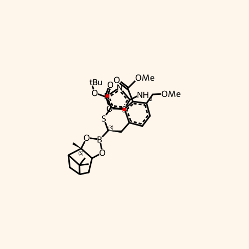 COCc1ccc(C[C@H](Sc2nnc(N)s2)B2OC3CC4CC(C4(C)C)[C@]3(C)O2)c(OC(=O)OC(C)(C)C)c1C(=O)OC